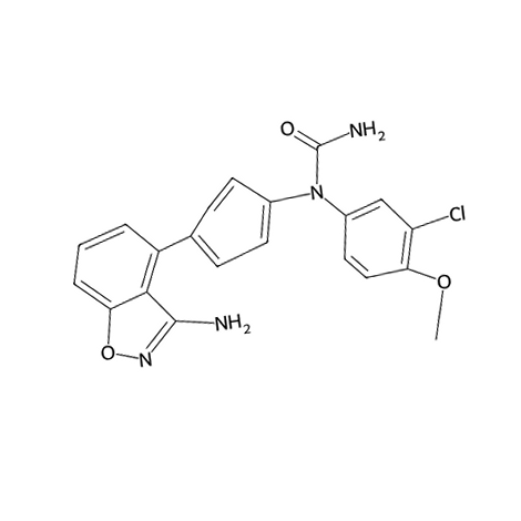 COc1ccc(N(C(N)=O)c2ccc(-c3cccc4onc(N)c34)cc2)cc1Cl